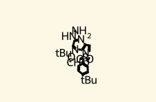 CC(C)(C)OC=O.CC(C)(C)c1ccc(S(=O)(=O)n2ccc3nc(NN)cnc32)cc1